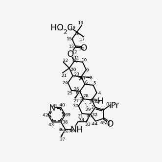 CC(C)C1=C2[C@H]3CCC4[C@@]5(C)CC[C@H](OC(=O)CC(C)(C)C(=O)O)C(C)(C)C5CC[C@@]4(C)[C@]3(C)CC[C@@]2(CCN[C@@H](C)c2ccncc2)CC1=O